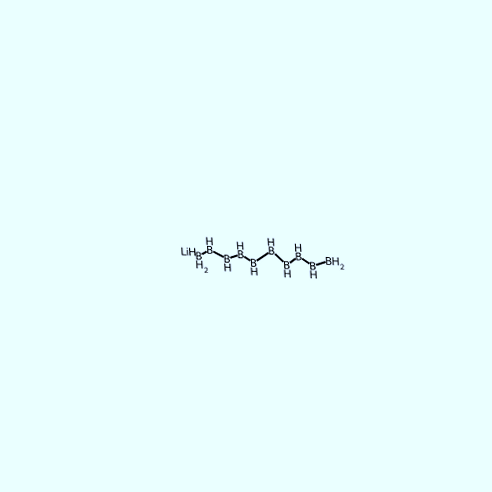 BBBBBBBBBB.[LiH]